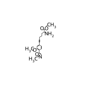 CCOC(=O)C(N)CCCC#Cc1ccc(-c2cnc(C)o2)c(OC)c1